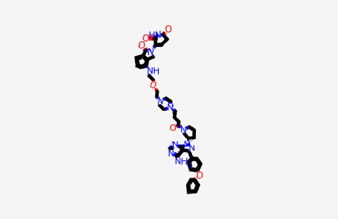 Nc1ncnc2c1c(-c1ccc(Oc3ccccc3)cc1)nn2[C@@H]1CCCN(C(=O)CCCN2CCN(CCOCCNc3cccc4c3CN(C3CCC(=O)NC3=O)C4=O)CC2)C1